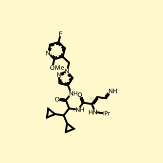 COc1ncc(F)cc1Cn1cc(NC(=O)C(NC(=O)/C(=C/C=N)NC(C)C)C(C2CC2)C2CC2)cn1